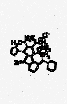 CC(C)c1c(C(C)C)c(C(C)C)c2c(c1C1=CC=CC1)=[C]([Zr+2])c1cccc(=C(c3ccccc3)c3ccccc3)c1=2.[Cl-].[Cl-]